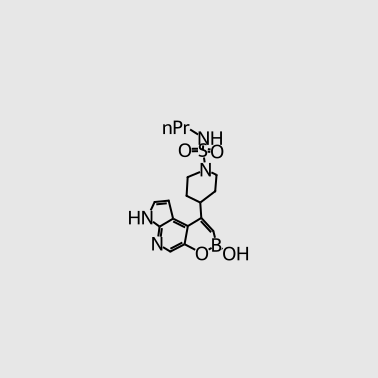 CCCNS(=O)(=O)N1CCC(C2=CB(O)Oc3cnc4[nH]ccc4c32)CC1